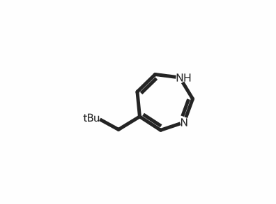 CC(C)(C)CC1=CN=CNC=C1